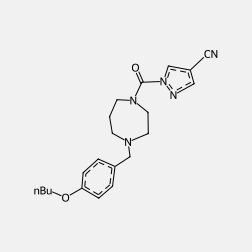 CCCCOc1ccc(CN2CCCN(C(=O)n3cc(C#N)cn3)CC2)cc1